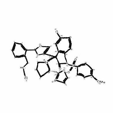 CCNCc1ccccc1C1OC=C(C2(N3CCC[C@H]3c3ncco3)C(=O)N(S(=O)(=O)c3ccc(OC)cc3)c3ccc(Cl)cc32)O1